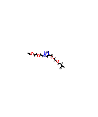 CCOCCOCCn1cc(COCCOCCC(C)C)nn1